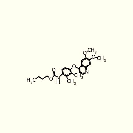 CCCCOC(=O)Nc1ccc(Oc2ccnc3cc(OC)c(OC)cc23)c(C)c1C